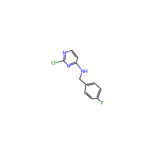 Fc1ccc(CNc2ccnc(Cl)n2)cc1